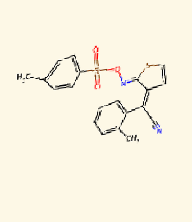 Cc1ccc(S(=O)(=O)ON=C2SC=C/C2=C(\C#N)c2ccccc2C)cc1